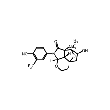 C[C@@]12C(=O)N(c3ccc(C#N)c(C(F)(F)F)c3)[C@H]3OCC[C@]4(C[C@H](O)[C@@]1(C)O4)[C@H]32